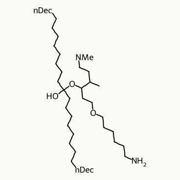 CCCCCCCCCCCCCCCCCCC(O)(CCCCCCCCCCCCCCCCCC)OC(CCOCCCCCCN)C(C)CCNC